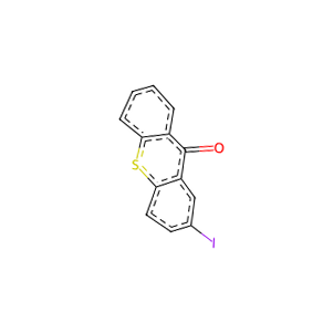 O=c1c2ccccc2sc2ccc(I)cc12